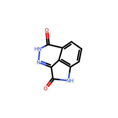 O=C1Nc2cccc3c(=O)[nH]nc1c23